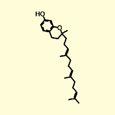 CC(C)=CCC/C(C)=C/CC/C(C)=C/CCC1(C)CCc2ccc(O)cc2O1